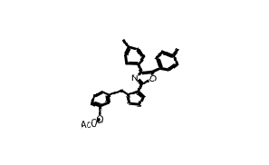 CC(=O)OOc1cccc(CC2CCC=C2c2nc(-c3ccc(C)cc3)c(-c3ccc(C)cc3)o2)c1